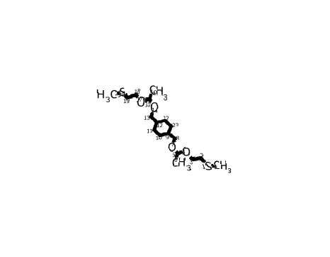 CSCCOC(C)OCC1CCC(COC(C)OCCSC)CC1